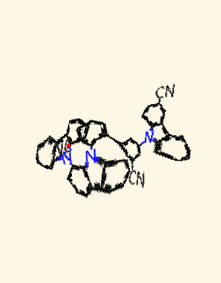 N#Cc1cc(-c2cccc(C#N)c2-n2c3ccccc3c3cccc(-n4c5ccccc5c5ccccc54)c32)cc(-n2c3ccccc3c3cc(C#N)ccc32)c1